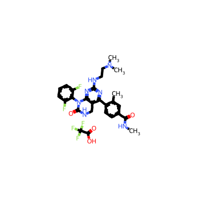 CNC(=O)c1ccc(-c2nc(NCCN(C)C)nc3c2CNC(=O)N3c2c(F)cccc2F)c(C)c1.O=C(O)C(F)(F)F